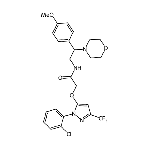 COc1ccc(C(CNC(=O)COc2cc(C(F)(F)F)nn2-c2ccccc2Cl)N2CCOCC2)cc1